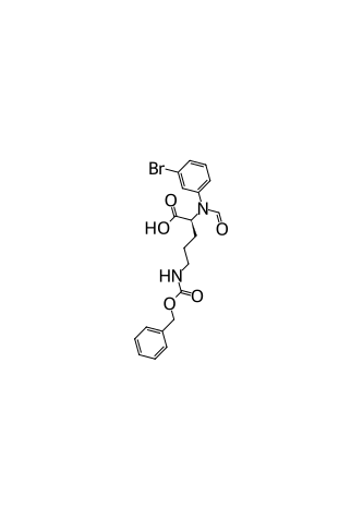 O=CN(c1cccc(Br)c1)[C@@H](CCCNC(=O)OCc1ccccc1)C(=O)O